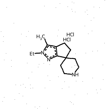 CCn1nc2c(c1C)CCC21CCNCC1.Cl.Cl